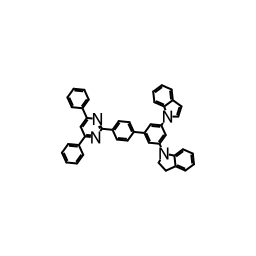 c1ccc(-c2cc(-c3ccccc3)nc(-c3ccc(-c4cc(N5CCc6ccccc65)cc(-n5ccc6ccccc65)c4)cc3)n2)cc1